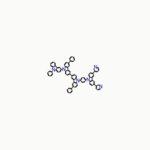 c1ccc(-c2ccc3c(c2)c2cc(-c4ccc5c(c4)c4cc(-c6ccccc6)ccc4n5-c4ccc5c(c4)c4ccccc4n5-c4ccccc4)ccc2n3-c2ccc(-n3c4ccc(-c5cccnc5)cc4c4cc(-c5cccnc5)ccc43)cc2)cc1